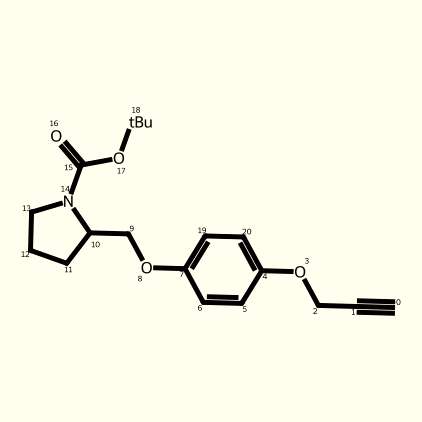 C#CCOc1ccc(OCC2CCCN2C(=O)OC(C)(C)C)cc1